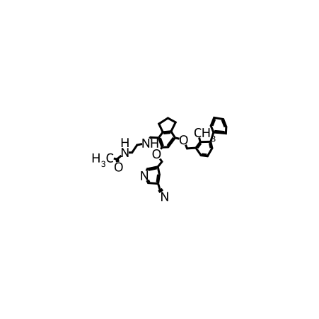 CC(=O)NCCNCc1c(OCc2cncc(C#N)c2)cc(OCc2cccc(-c3ccccc3)c2C)c2c1CCC2